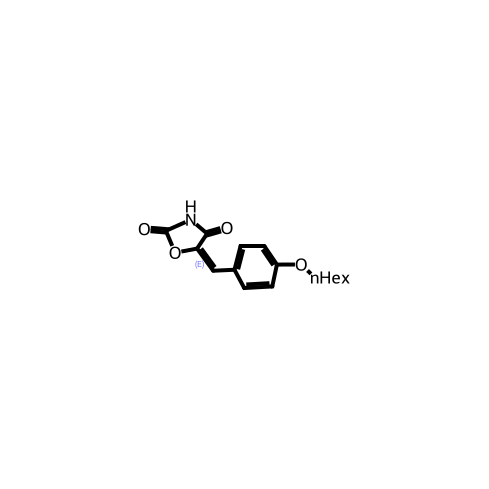 CCCCCCOc1ccc(/C=C2/OC(=O)NC2=O)cc1